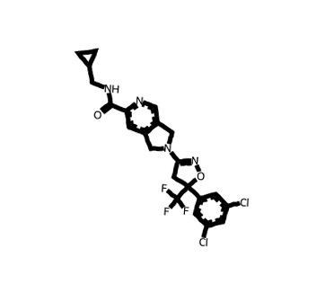 O=C(NCC1CC1)c1cc2c(cn1)CN(C1=NOC(c3cc(Cl)cc(Cl)c3)(C(F)(F)F)C1)C2